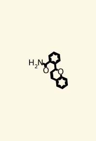 NC(=O)c1ccccc1C1C=Cc2ccccc2O1